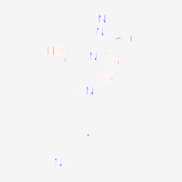 Cc1cc(-c2scnc2C)ccc1CNC(=O)[C@@H]1C[C@@H](O)CN1C(=O)[C@H](C(C)C)n1cccn1